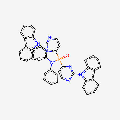 O=P(c1ccnc(-n2c3ccccc3c3ccccc32)n1)(c1ccnc(-n2c3ccccc3c3ccccc32)n1)N(c1ccccc1)c1ccccc1